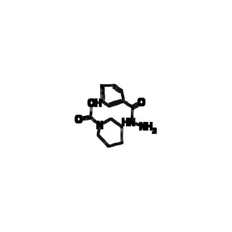 NNC(=O)c1ccccc1.O=C(O)N1CCCCC1